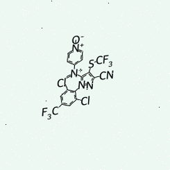 C=[N+](c1cc[n+]([O-])cc1)c1c(SC(F)(F)F)c(C#N)nn1-c1c(Cl)cc(C(F)(F)F)cc1Cl